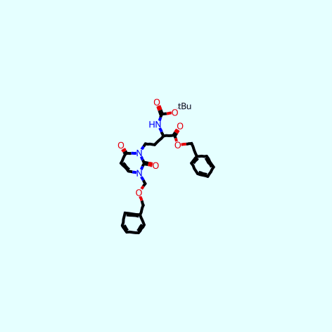 CC(C)(C)OC(=O)NC(CCn1c(=O)ccn(COCc2ccccc2)c1=O)C(=O)OCc1ccccc1